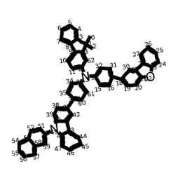 CC1(C)c2ccccc2-c2ccc(N(c3ccc(-c4ccc5oc6ccccc6c5c4)cc3)c3ccc(-c4ccc5c(c4)c4ccccc4n5-c4ccc5ccccc5c4)cc3)cc21